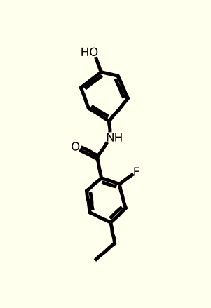 CCc1ccc(C(=O)Nc2ccc(O)cc2)c(F)c1